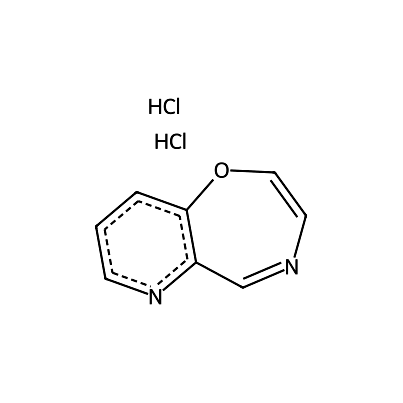 C1=COc2cccnc2C=N1.Cl.Cl